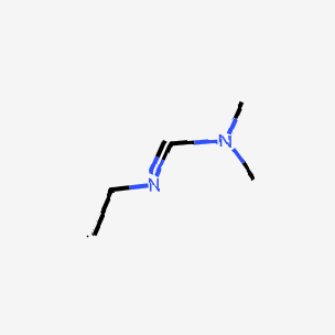 [CH2]CN=CN(C)C